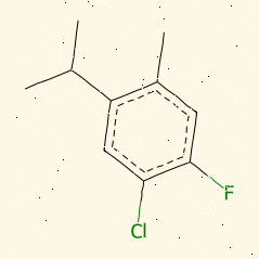 Cc1cc(F)c(Cl)cc1C(C)C